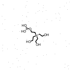 OCC[N+](CCO)(CCO)CCOB(O)O